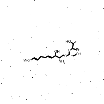 CCCCCCCCC/C=C/CC/C=C/[C@@H](O)[C@@H](N)CO[C@@H](CO)OC(CC)[C@H](C)O